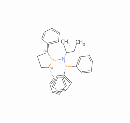 CCC(C)N(P(c1ccccc1)c1ccccc1)P1[C@H](c2ccccc2)CC[C@H]1c1ccccc1